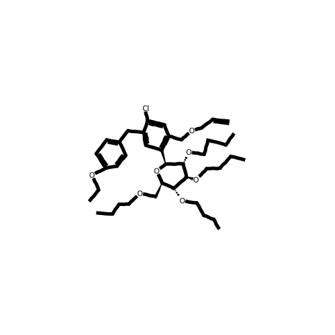 C=CCOCc1cc(Cl)c(Cc2ccc(OCC)cc2)cc1[C@@H]1O[C@H](COCCCC)[C@@H](OCCCC)[C@H](OCCCC)[C@H]1OCCCC